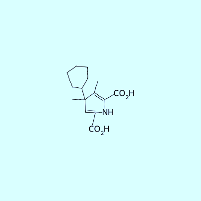 CC1=C(C(=O)O)NC(C(=O)O)=CC1(C)C1CCCCC1